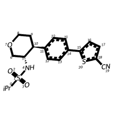 CC(C)S(=O)(=O)N[C@@H]1COCC[C@H]1c1ccc(-c2ccc(C#N)s2)cc1